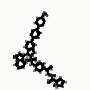 CN1CCN(c2ccc(-c3ccc4c(c3)CN(S(=O)(=O)Cc3ccc(C(=O)CNC(=O)c5cnc[nH]5)cc3)[C@H]4c3c[nH]c4ccccc34)cc2)CC1